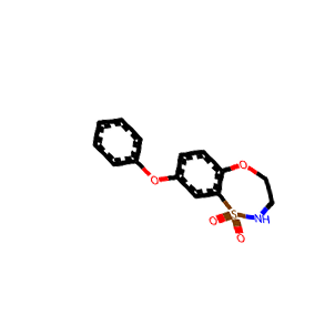 O=S1(=O)NCCOc2ccc(Oc3ccccc3)cc21